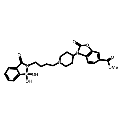 COC(=O)c1ccc2c(c1)oc(=O)n2C1CCN(CCCCN2C(=O)c3ccccc3S2(O)O)CC1